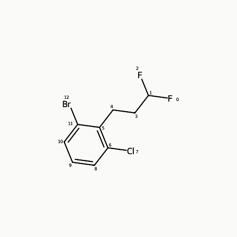 FC(F)CCc1c(Cl)cccc1Br